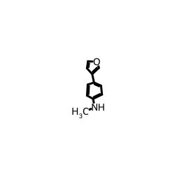 CNc1ccc(-c2ccoc2)cc1